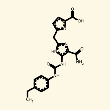 CCc1ccc(NC(=O)Nc2[nH]c(Cc3ccc(C(=O)O)o3)nc2C(N)=O)cc1